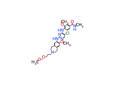 CNC(=O)c1ccc(Nc2nc(Nc3cc4c(cc3OC)CCN(CCCOCOC)CC4)ncc2Cl)c(OC)c1